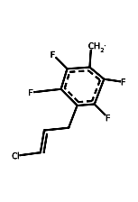 [CH2]c1c(F)c(F)c(CC=CCl)c(F)c1F